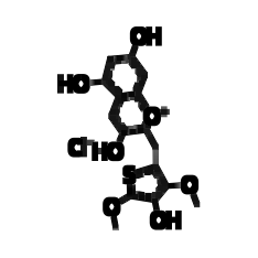 COc1sc(Cc2[o+]c3cc(O)cc(O)c3cc2O)c(OC)c1O.[Cl-]